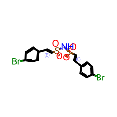 O=S(=O)(/C=C/c1ccc(Br)cc1)NS(=O)(=O)/C=C/c1ccc(Br)cc1